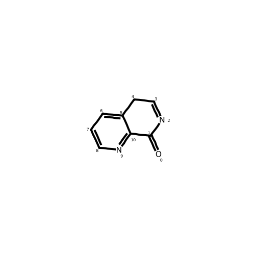 O=C1N=CCc2cccnc21